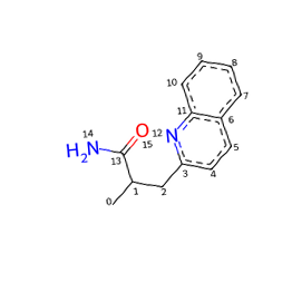 CC(Cc1ccc2ccccc2n1)C(N)=O